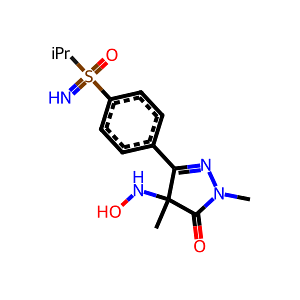 CC(C)S(=N)(=O)c1ccc(C2=NN(C)C(=O)C2(C)NO)cc1